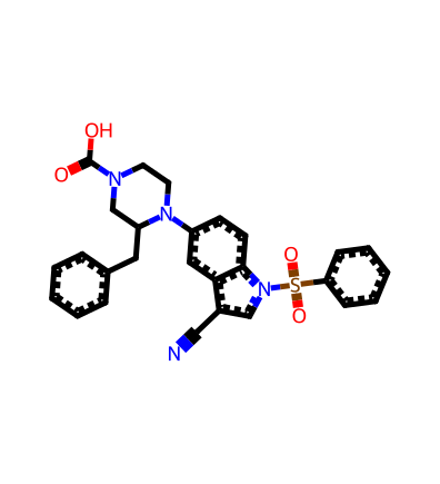 N#Cc1cn(S(=O)(=O)c2ccccc2)c2ccc(N3CCN(C(=O)O)CC3Cc3ccccc3)cc12